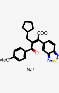 COc1ccc(C(=O)C(CC2CCCC2)=C(C(=O)[O-])c2ccc3nsnc3c2)cc1.[Na+]